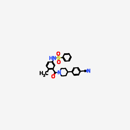 Cc1ccc(NS(=O)(=O)c2ccccc2)cc1C(=O)N1CCC(c2ccc(C#N)cc2)CC1